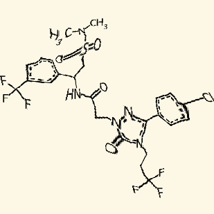 CN(C)S(=O)(=O)CC(NC(=O)Cn1nc(-c2ccc(Cl)cc2)n(CCC(F)(F)F)c1=O)c1cccc(C(F)(F)F)c1